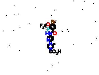 CC1CN(C(=O)O)CCN1c1ccc(NC(=O)c2ccc(Br)c(OC(F)(F)F)c2F)cn1